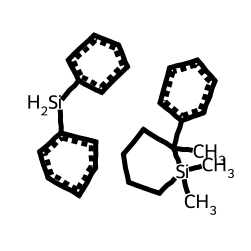 CC1(c2ccccc2)CCCC[Si]1(C)C.c1ccc([SiH2]c2ccccc2)cc1